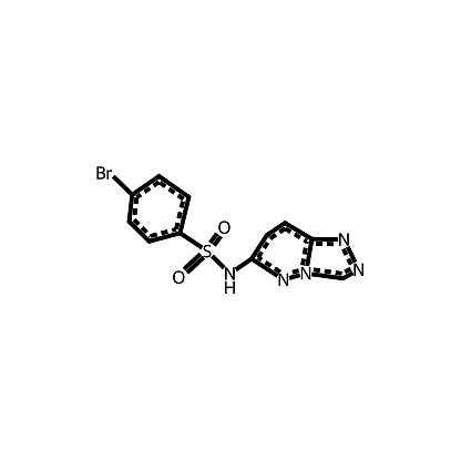 O=S(=O)(Nc1ccc2nncn2n1)c1ccc(Br)cc1